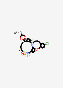 CO[C@H]1CO[C@@H]([C@@H]2CCC[C@H](C)[C@@H](C)S(=O)(=O)NC(=O)c3ccc4c(c3)N(CCCCc3cc(Cl)ccc3CO4)C[C@@H]3CC[C@H]32)OC1